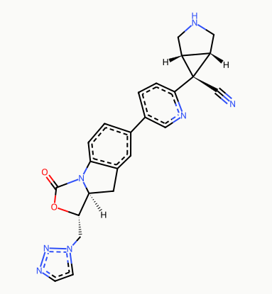 N#C[C@@]1(c2ccc(-c3ccc4c(c3)C[C@H]3[C@H](Cn5ccnn5)OC(=O)N43)cn2)[C@@H]2CNC[C@@H]21